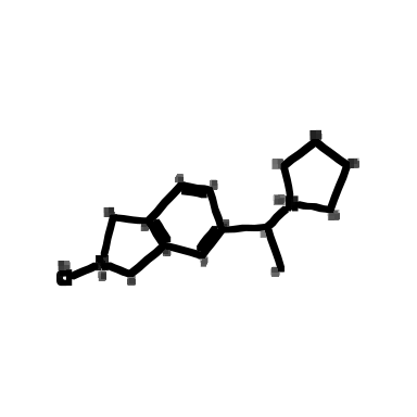 CC(c1ccc2c(c1)CN(Cl)C2)N1CCCC1